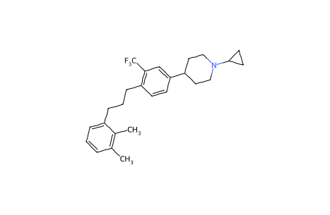 Cc1cccc(CCCc2ccc(C3CCN(C4CC4)CC3)cc2C(F)(F)F)c1C